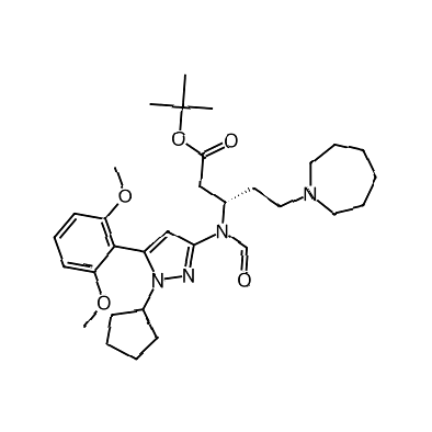 COc1cccc(OC)c1-c1cc(N(C=O)[C@@H](CCN2CCCCCC2)CC(=O)OC(C)(C)C)nn1C1CCCC1